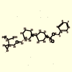 O=C(OCc1ccccc1)N1CCC(N2CCC[C@@H](COCC3(C(F)F)CC3)C2)CC1